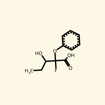 CCC(O)C(F)(Oc1ccccc1)C(=O)O